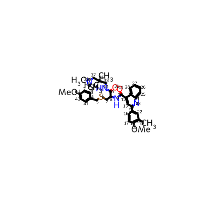 COc1ccc(CSCC(NC(=O)c2cc(-c3ccc(OC)c(C)c3)nc3ccccc23)C(=O)NCC(C)(C)CN(C)C)cc1